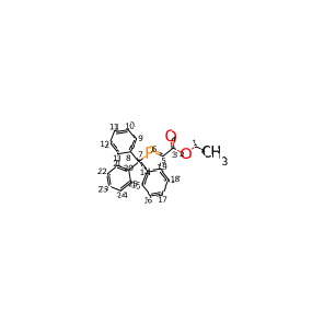 CCOC(=O)C=PC(c1ccccc1)(c1ccccc1)c1ccccc1